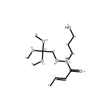 CC=CC(=O)[SiH](CCCO)OCC(OC)(OC)OC